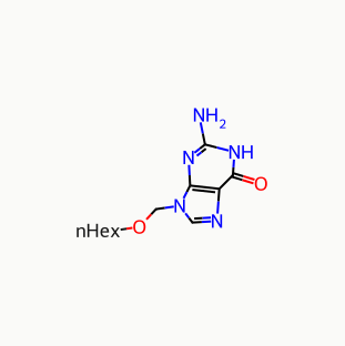 CCCCCCOCn1cnc2c(=O)[nH]c(N)nc21